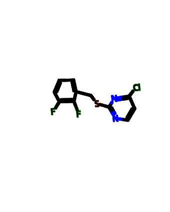 Fc1cccc(CSc2nccc(Cl)n2)c1F